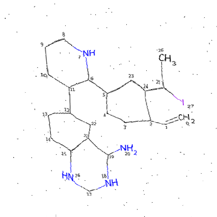 C=CC1CCC(C2NCCCC2C2CCC3NCNC(N)C3C2)CC1C(C)I